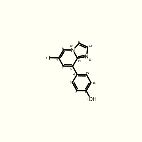 Oc1ccc(-c2cc(I)cn3ccnc23)cc1